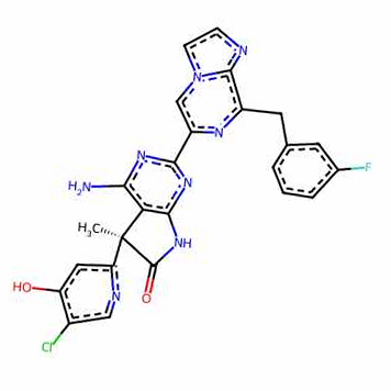 C[C@@]1(c2cc(O)c(Cl)cn2)C(=O)Nc2nc(-c3cn4ccnc4c(Cc4cccc(F)c4)n3)nc(N)c21